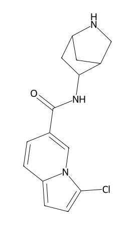 O=C(NC1CC2CC1CN2)c1ccc2ccc(Cl)n2c1